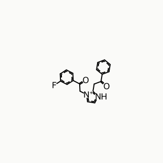 O=C(Cc1[nH]cc[n+]1CC(=O)c1cccc(F)c1)c1ccccc1